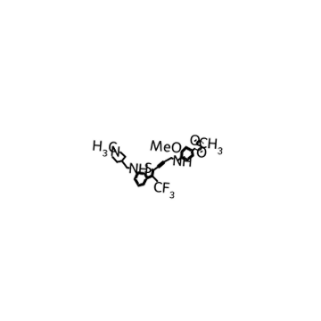 COc1cc(S(C)(=O)=O)ccc1NCC#Cc1sc2c(NCC3CCN(C)CC3)cccc2c1CC(F)(F)F